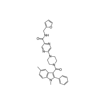 Cc1ccc2c(c1)c(C(=O)N1CCN(c3cnc(C(=O)NCc4ccco4)cn3)CC1)c(-c1ccccc1)n2C